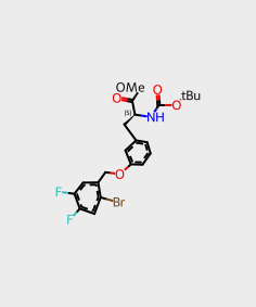 COC(=O)[C@H](Cc1cccc(OCc2cc(F)c(F)cc2Br)c1)NC(=O)OC(C)(C)C